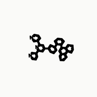 c1cncc(-c2cc(-c3cccc(-c4ccccc4-c4cc5ccccc5c5ccccc45)c3)cc(-c3cccnc3)n2)c1